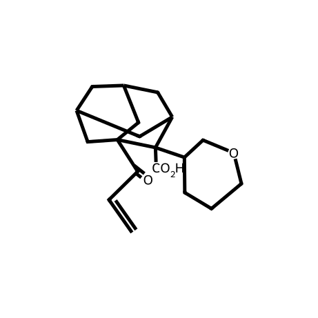 C=CC(=O)C12CC3CC(CC(C3)C1(C(=O)O)C1CCCOC1)C2